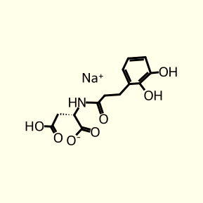 O=C(O)C[C@H](NC(=O)CCc1cccc(O)c1O)C(=O)[O-].[Na+]